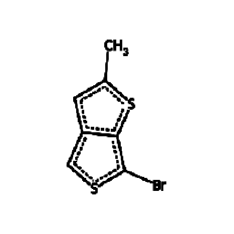 Cc1cc2csc(Br)c2s1